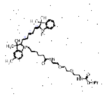 CCCOC(=O)NCCOCCOCCNC(=O)CCCCC[N+]1=C(/C=C/C=C/C=C2\N(CC)c3ccccc3C2(C)C)C(C)(C)c2cc(C)ccc21